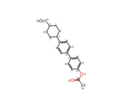 CCCCCCCCC1CCC(c2ccc(-c3ccc(OC(=O)CC)cc3)cc2)CC1